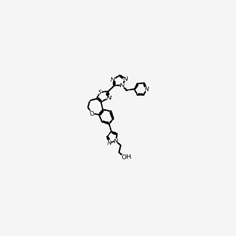 OCCn1cc(-c2ccc3c(c2)OCCc2sc(-c4ncnn4Cc4ccncc4)nc2-3)cn1